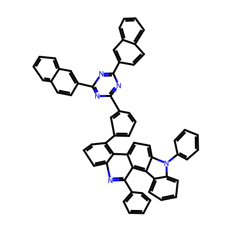 c1ccc(-c2nc3cccc(-c4cccc(-c5nc(-c6ccc7ccccc7c6)nc(-c6ccc7ccccc7c6)n5)c4)c3c3ccc4c(c5ccccc5n4-c4ccccc4)c23)cc1